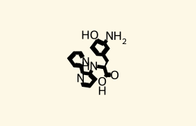 Nc1cc(C[C@H](Nc2cccnc2-c2ccccn2)C(=O)O)ccc1O